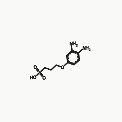 Nc1ccc(OCCCS(=O)(=O)O)cc1N